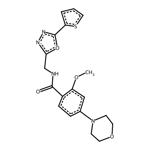 COc1cc(N2CCOCC2)ccc1C(=O)NCc1nnc(-c2cccs2)o1